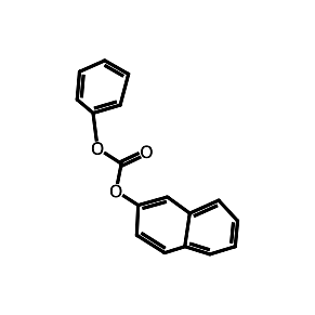 O=C(Oc1ccccc1)Oc1ccc2ccccc2c1